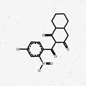 O=C1CC2CCCCC2C(=O)C1C(=O)c1ccc(Cl)cc1[N+](=O)[O-]